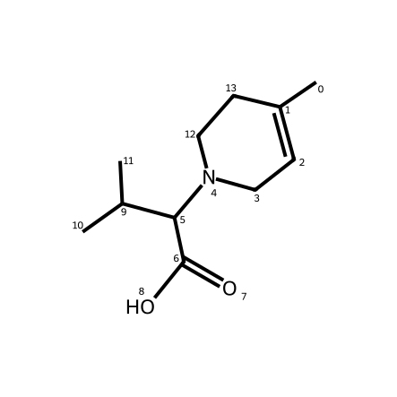 CC1=CCN(C(C(=O)O)C(C)C)CC1